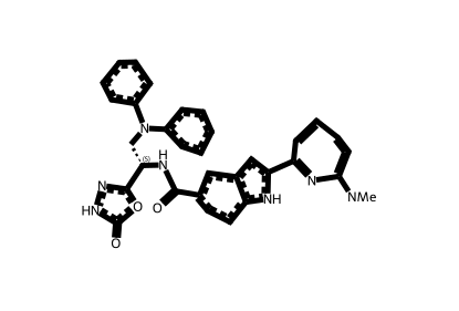 CNC1=C=CC=CC(c2cc3cc(C(=O)N[C@@H](CN(c4ccccc4)c4ccccc4)c4n[nH]c(=O)o4)ccc3[nH]2)=N1